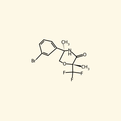 C[C@@]1(c2cccc(Br)c2)CO[C@@](C)(C(F)(F)F)C(=O)N1